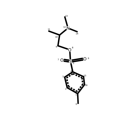 Cc1ccc(S(=O)(=O)OCC(C)N(C)C)cc1